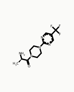 C[C@@H](N)C(=O)N1CCN(c2ncc(C(F)(F)F)cn2)CC1